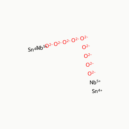 [Nb+5].[Nb+5].[O-2].[O-2].[O-2].[O-2].[O-2].[O-2].[O-2].[O-2].[O-2].[Sn+4].[Sn+4]